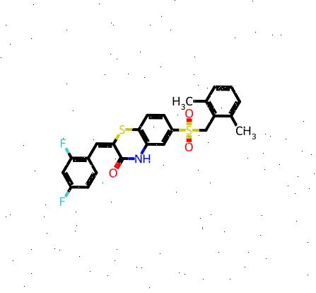 Cc1cccc(C)c1CS(=O)(=O)c1ccc2c(c1)NC(=O)/C(=C\c1ccc(F)cc1F)S2